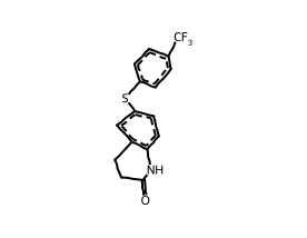 O=C1CCc2cc(Sc3ccc(C(F)(F)F)cc3)ccc2N1